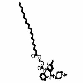 CCCCCCCCCCCCCCCCCCCC(=O)OCOC(=O)N1c2ccccc2N=C(N2CCN(C)CC2)c2cc(C)sc21